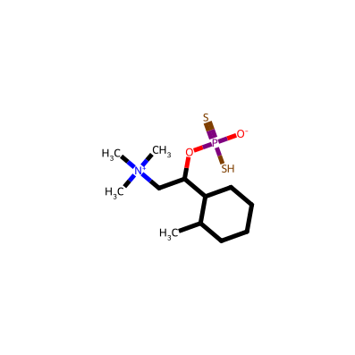 CC1CCCCC1C(C[N+](C)(C)C)OP([O-])(=S)S